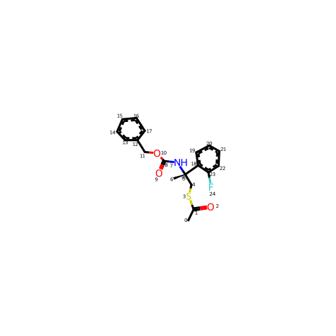 CC(=O)SC[C@](C)(NC(=O)OCc1ccccc1)c1ccccc1F